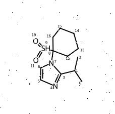 CC(C)c1nccn1C1([SH](=O)=O)CCCCC1